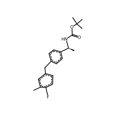 Cc1cc(Cc2ccc([C@H](C)NC(=O)OC(C)(C)C)cc2)ccc1F